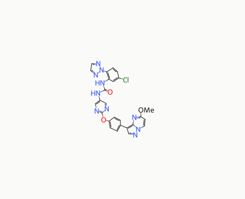 COc1ccn2ncc(-c3ccc(Oc4ncc(NC(=O)Nc5cc(Cl)ccc5-n5nccn5)cn4)cc3)c2n1